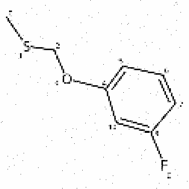 CSCOc1cccc(F)c1